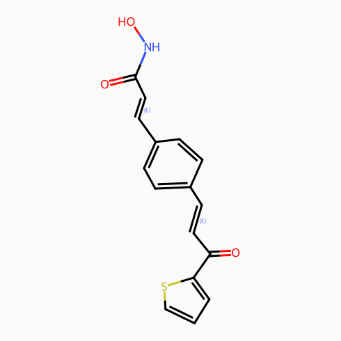 O=C(/C=C/c1ccc(/C=C/C(=O)c2cccs2)cc1)NO